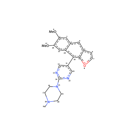 COc1cc2cc3ccoc3c(-c3cnc(N4CCN(C)CC4)nc3)c2cc1OC